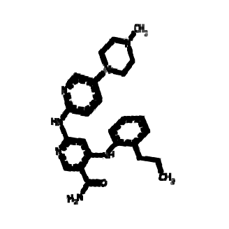 CCCc1ccccc1Nc1cc(Nc2ccc(N3CCN(C)CC3)cn2)ncc1C(N)=O